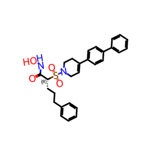 O=C(NO)[C@@H](CCCc1ccccc1)S(=O)(=O)N1CC=C(c2ccc(-c3ccccc3)cc2)CC1